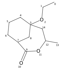 CCOC12CCCC(C1)C(=O)OC(C)C2